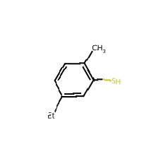 CCc1ccc(C)c(S)c1